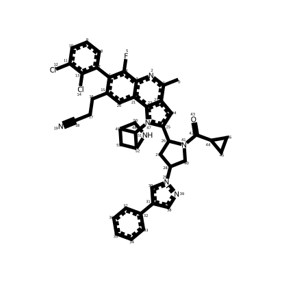 Cc1nc2c(F)c(-c3cccc(Cl)c3Cl)c(CCC#N)cc2c2c1cc(C1CC(n3cc(-c4ccccc4)cn3)CN1C(=O)C1CC1)n2C1C2CNC1C2